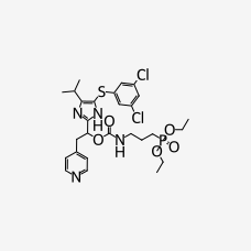 CCOP(=O)(CCCNC(=O)OC(Cc1ccncc1)c1nc(C(C)C)c(Sc2cc(Cl)cc(Cl)c2)[nH]1)OCC